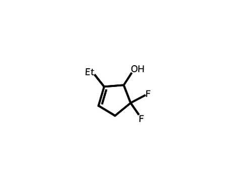 CCC1=CCC(F)(F)C1O